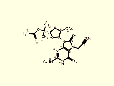 C#CCn1c(=O)n([C@@H]2O[C@H](C(C)(C)OC(=O)C(F)(F)F)C[C@H]2OC(C)=O)c2nc(NC(C)=O)[nH]c(=O)c21